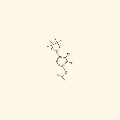 CC1(C)OB(c2ccc(OC(F)F)c(F)c2Cl)OC1(C)C